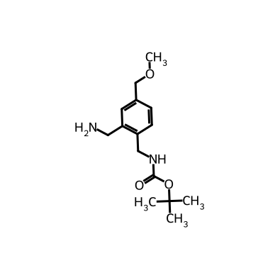 COCc1ccc(CNC(=O)OC(C)(C)C)c(CN)c1